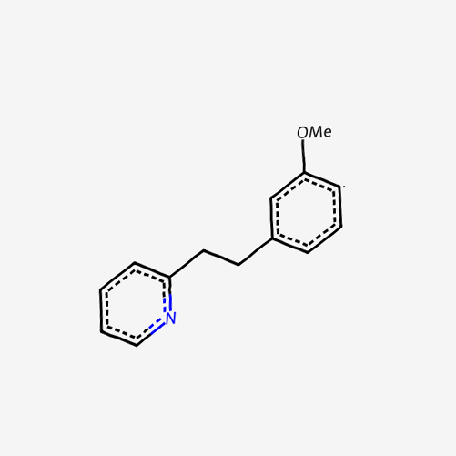 COc1[c]ccc(CCc2ccccn2)c1